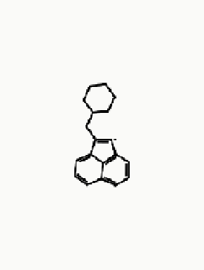 [C]1=C(CC2CCCCC2)c2cccc3cccc1c23